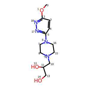 COc1ccc(N2CCN(CC(O)CO)CC2)nn1